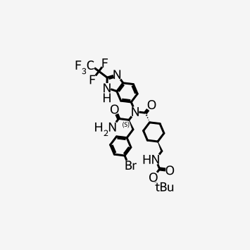 CC(C)(C)OC(=O)NC[C@H]1CC[C@H](C(=O)N(c2ccc3nc(C(F)(F)C(F)(F)F)[nH]c3c2)[C@@H](Cc2cccc(Br)c2)C(N)=O)CC1